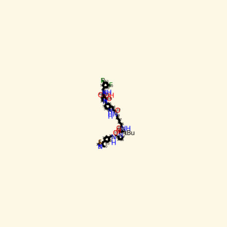 Cc1ncsc1-c1ccc(CNC(=O)[C@@H]2CCCN2C(=O)[C@@H](NC(=O)CCCCCNC(=O)c2cc3cc(N4CC[C@@](O)(C(=O)NCc5cc(F)cc(F)c5)C4=O)ccc3[nH]2)C(C)(C)C)cc1